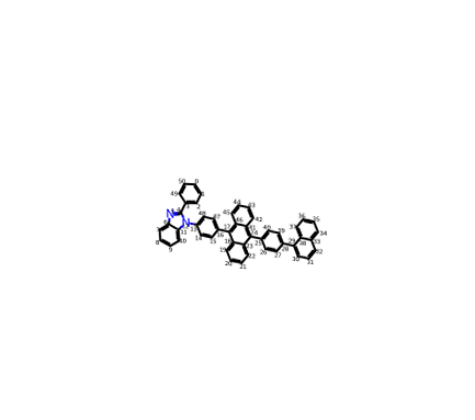 c1ccc(-c2nc3ccccc3n2-c2ccc(-c3c4ccccc4c(-c4ccc(-c5cccc6ccccc56)cc4)c4ccccc34)cc2)cc1